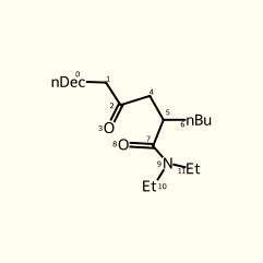 CCCCCCCCCCCC(=O)CC(CCCC)C(=O)N(CC)CC